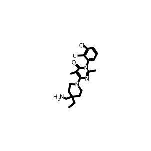 CCC1(CN)CCN(c2nc(C)n(-c3cccc(Cl)c3Cl)c(=O)c2C)CC1